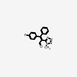 Cn1nnnc1C(C=O)=C(c1ccccc1)c1ccc(F)cc1